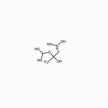 CC(O)(C[SiH](O)O)OC(O)O